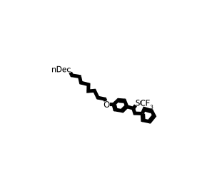 CCCCCCCCCCCCCCCCCCOc1ccc(C(Cc2ccccc2)SC(F)(F)F)cc1